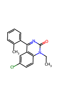 CCn1c(=O)nc(-c2ccccc2C)c2cc(Cl)ccc21